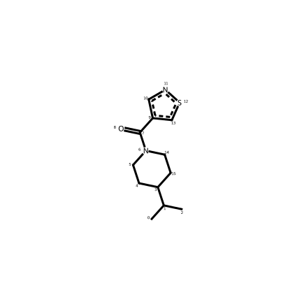 CC(C)C1CCN(C(=O)c2cnsc2)CC1